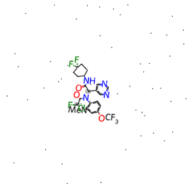 CNc1cc(OC(F)(F)F)ccc1N(C(=O)[C@H](F)Cl)[C@H](C(=O)NC1CCC(F)(F)CC1)c1cncnc1